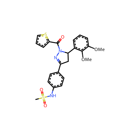 COc1cccc(C2CC(c3ccc(NS(C)(=O)=O)cc3)=NN2C(=O)c2cccs2)c1OC